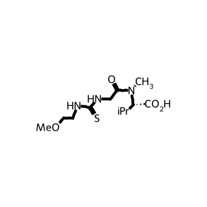 COCCNC(=S)NCC(=O)N(C)[C@H](C(=O)O)C(C)C